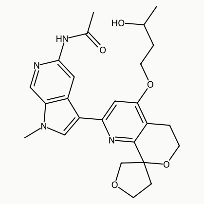 CC(=O)Nc1cc2c(-c3cc(OCCC(C)O)c4c(n3)C3(CCOC3)OCC4)cn(C)c2cn1